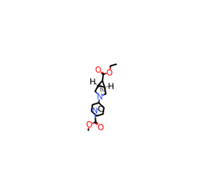 CCOC(=O)C1[C@H]2CN(C3CC4CCC3CN4C(=O)OC)C[C@@H]12